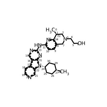 C[C@H]1CN(CCO)Cc2ccc(Nc3ncc4c5ccncc5n([C@H]5CC[C@H](C)CC5)c4n3)nc21